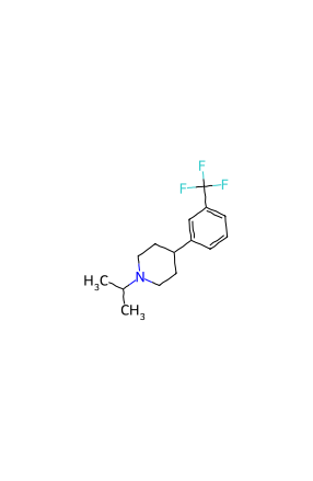 CC(C)N1CCC(c2cccc(C(F)(F)F)c2)CC1